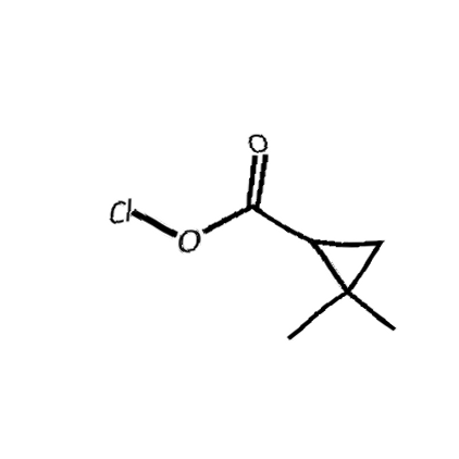 CC1(C)CC1C(=O)OCl